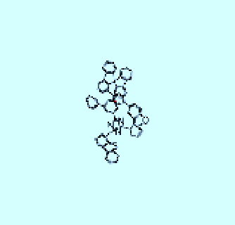 c1ccc(-c2cccc(-c3nc(-c4cccc5c4sc4ccccc45)nc(-c4cccc5oc6ccc(-c7ccc(-c8cccc9c8C8(c%10ccccc%10-c%10ccccc%108)c8ccccc8-9)cc7)cc6c45)n3)c2)cc1